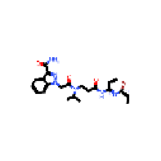 C=C/C(=N\C(Br)=C/C)NC(=O)CCN(C(=O)Cn1nc(C(N)=O)c2ccccc21)C(C)C